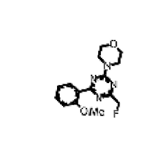 COc1ccccc1-c1nc(CF)nc(N2CCOCC2)n1